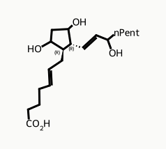 CCCCCC(O)C=C[C@H]1C(O)CC(O)[C@@H]1CC=CCCCC(=O)O